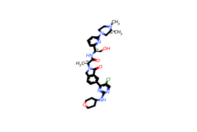 C[C@@H]1CN(c2cccc([C@@H](CO)NC(=O)[C@@H](C)N3Cc4ccc(-c5nc(NC6CCOCC6)ncc5Cl)cc4C3=O)n2)CCN1C